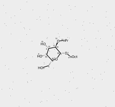 CCCCCCCCO[C@@H]1O[C@H](CO)[C@H](O)[C@H](O)[C@H]1OCCC